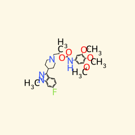 COc1cc(NC(=O)OC(C)CN2CCC(c3nn(C)c4cc(F)ccc34)CC2)cc(OC)c1OC